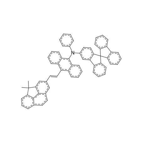 CC1(C)c2cccc3ccc4cc(/C=C/c5c6ccccc6c(N(c6ccccc6)c6ccc7c(c6)-c6ccccc6C76c7ccccc7-c7ccccc76)c6ccccc56)cc1c4c23